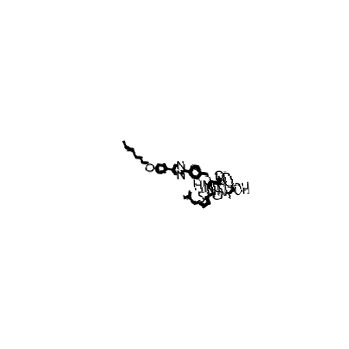 CCCCCCCOc1ccc(-c2cnc(-c3ccc(C[C@H](NC(=O)c4ccc(CC(C)C)s4)C(=O)N[C@H](C)C(=O)O)cc3)nc2)cc1